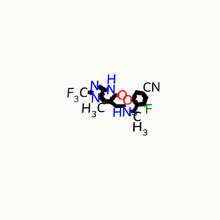 Cc1c(CC(=O)N[C@@H](C)c2ccc(C#N)cc2F)c(=O)[nH]c2cnc(C(F)(F)F)nc12